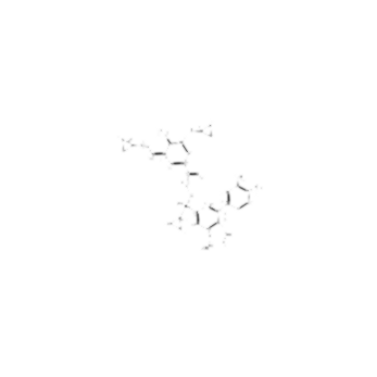 N=C1C(OC2CC2)=CC(C(=O)NCC(O)(c2cc3c(c(-c4ccc(F)c(Cl)c4)n2)OCB3C(F)(F)F)C2CC2)=C/C1=C/NC1CC1